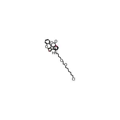 O=C1OC2(c3ccccc3Oc3cccc(N4CCC4)c32)c2cc(NCCCOCCOCCCCCCCl)ccc21